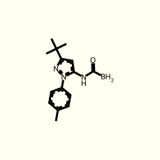 BC(=O)Nc1cc(C(C)(C)C)nn1-c1ccc(C)cc1